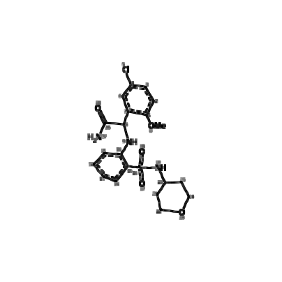 COc1ccc(Cl)cc1C(Nc1ccccc1S(=O)(=O)NC1CCOCC1)C(N)=O